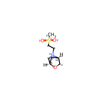 CS(=O)(=O)CCN1C[C@H]2C[C@@H]1CO2